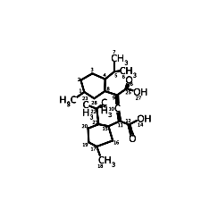 CC1CCC(C(C)C)C(C(=C=C(C(=O)O)C2CC(C)CCC2C(C)C)C(=O)O)C1